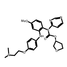 COc1ccc(N(C(=O)O[C@H]2CCOC2)c2ccncn2)c(Nc2ccc(OCCN(C)C)cc2)c1